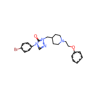 O=c1n(-c2ccc(Br)cc2)cnn1CC1CCN(CCOc2ccccc2)CC1